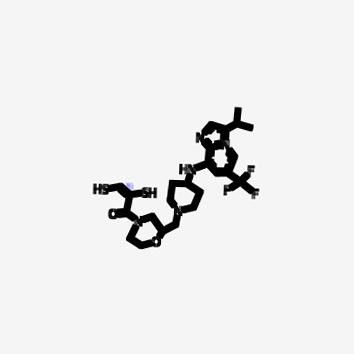 CC(C)c1cnc2c(NC3CCN(CC4CN(C(=O)/C(S)=C\S)CCO4)CC3)cc(C(F)(F)F)cn12